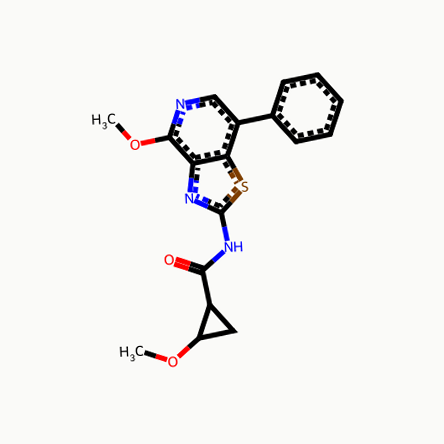 COc1ncc(-c2ccccc2)c2sc(NC(=O)C3CC3OC)nc12